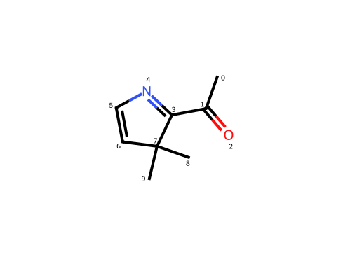 CC(=O)C1=NC=CC1(C)C